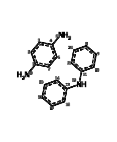 Nc1ccc(N)cc1.c1ccc(Nc2ccccc2)cc1